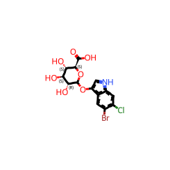 O=C(O)[C@H]1OC(Oc2c[nH]c3cc(Cl)c(Br)cc23)[C@H](O)[C@@H](O)[C@@H]1O